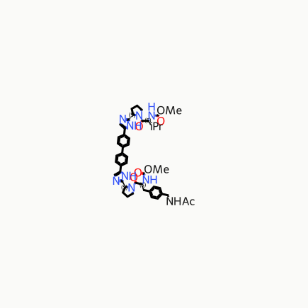 COC(=O)N[C@@H](Cc1ccc(CNC(C)=O)cc1)C(=O)N1CCC[C@H]1c1ncc(-c2ccc(-c3ccc(-c4cnc([C@@H]5CCCN5C(=O)[C@@H](NC(=O)OC)C(C)C)[nH]4)cc3)cc2)[nH]1